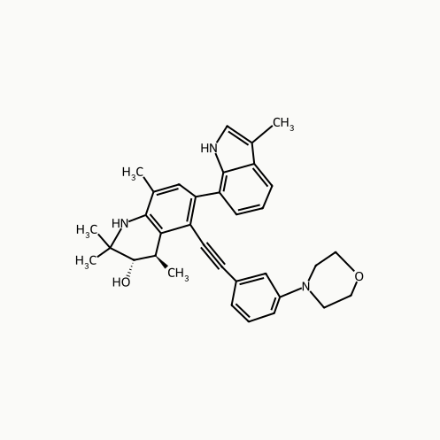 Cc1cc(-c2cccc3c(C)c[nH]c23)c(C#Cc2cccc(N3CCOCC3)c2)c2c1NC(C)(C)[C@@H](O)[C@@H]2C